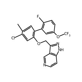 Cc1cc(-c2cc(OC(F)(F)F)ccc2F)c(OCc2n[nH]c3ccncc23)cc1Cl